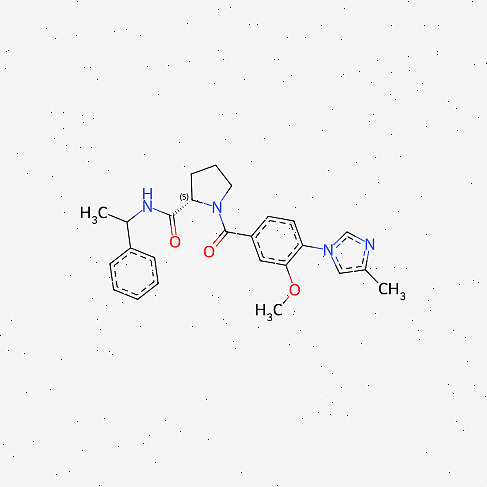 COc1cc(C(=O)N2CCC[C@H]2C(=O)NC(C)c2ccccc2)ccc1-n1cnc(C)c1